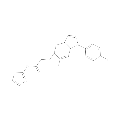 CC1=Cc2c(cnn2-c2ccc(F)cc2)C[C@]1(C)CCC(=O)Nc1nccs1